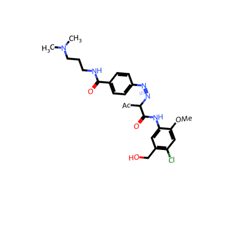 COc1cc(Cl)c(CO)cc1NC(=O)C(/N=N\c1ccc(C(=O)NCCCN(C)C)cc1)C(C)=O